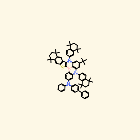 CC(C)(C)c1cc2c3c(c1)N(c1ccc4c(c1)C(C)(C)CCC4(C)C)c1c(sc4cc5c(cc14)C(C)(C)CCC5(C)C)B3c1ccc(N(c3ccccc3)c3ccc(-c4ccccc4)cc3)cc1N2c1ccc2c(c1)C(C)(C)CCC2(C)C